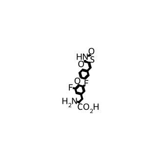 NC(Cc1cc(F)c(Oc2ccc(/C=C3/SC(=O)NC3=O)cc2)c(F)c1)C(=O)O